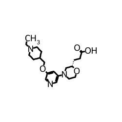 CCN1CCC(COc2cncc(N3CCO[C@@H](CCC(=O)O)C3)c2)CC1